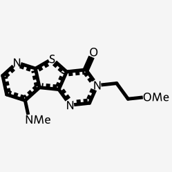 CNc1ccnc2sc3c(=O)n(CCOC)cnc3c12